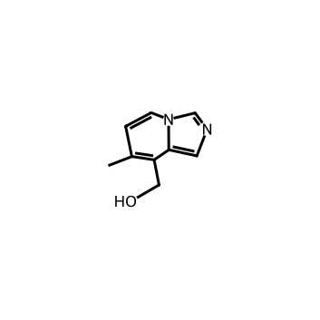 Cc1ccn2cncc2c1CO